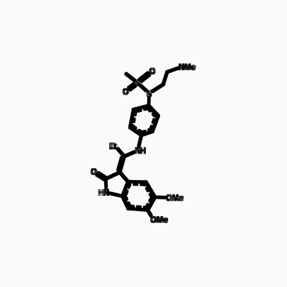 CCC(Nc1ccc(N(CCNC)S(C)(=O)=O)cc1)=C1C(=O)Nc2cc(OC)c(OC)cc21